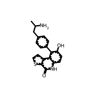 CC(N)Cc1ccc(-c2c(O)ccc3[nH]c(=O)c4sccc4c23)cc1